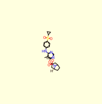 Cc1c(Nc2ccc(S(=O)(=O)C3CC3)cc2)ncnc1O[C@H]1CC2CC[C@@H](C1)N2C(=O)OC(C)(C)C